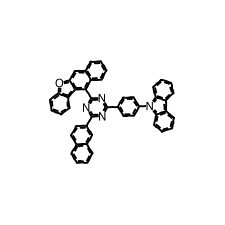 c1ccc2cc(-c3nc(-c4ccc(-n5c6ccccc6c6ccccc65)cc4)nc(-c4c5ccccc5cc5oc6ccccc6c45)n3)ccc2c1